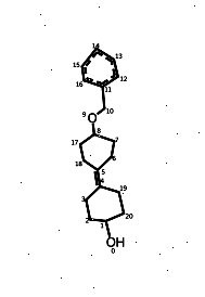 OC1CCC(=C2CCC(OCc3ccccc3)CC2)CC1